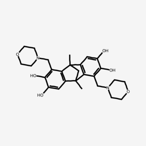 CC12CC(C)(c3cc(O)c(O)c(CN4CCOCC4)c31)c1c2cc(O)c(O)c1CN1CCOCC1